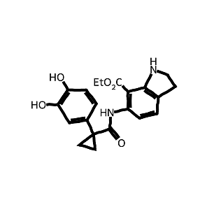 CCOC(=O)c1c(NC(=O)C2(c3ccc(O)c(O)c3)CC2)ccc2c1NCC2